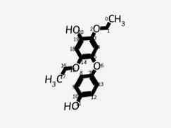 CCOc1cc(Oc2ccc(O)cc2)c(OCC)cc1O